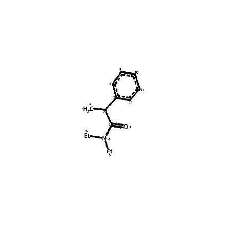 [CH2]C(C(=O)N(CC)CC)c1ccccc1